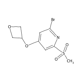 CS(=O)(=O)c1cc(OC2COC2)cc(Br)n1